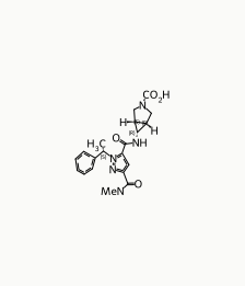 CNC(=O)c1cc(C(=O)N[C@@H]2[C@@H]3CN(C(=O)O)C[C@@H]32)n([C@@H](C)c2ccccc2)n1